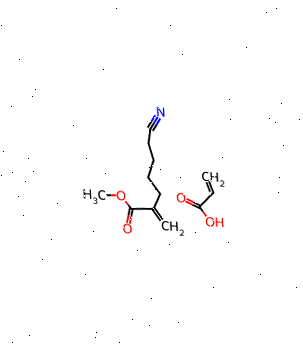 C=C(CCCCC#N)C(=O)OC.C=CC(=O)O